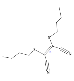 CCCCS/C(C#N)=C(/C#N)SCCCC